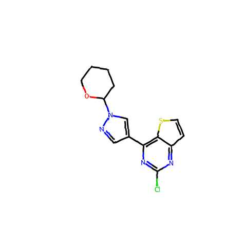 Clc1nc(-c2cnn(C3CCCCO3)c2)c2sccc2n1